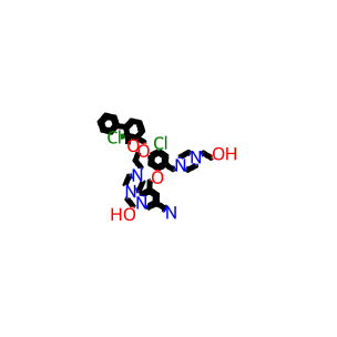 CC1(Cl)C(c2ccccc2)=CC=CC1(COc1cc(OCc2cncc(C#N)c2)c(CN2CCN(CCO)CC2)cc1Cl)OCCCN1CCN(CCO)CC1